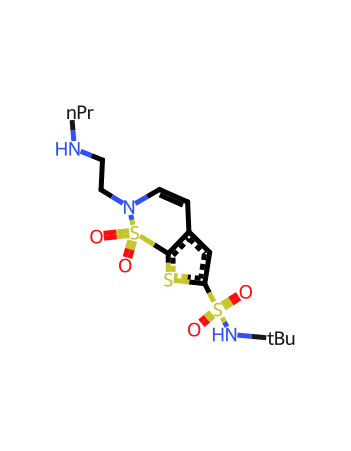 CCCNCCN1C=Cc2cc(S(=O)(=O)NC(C)(C)C)sc2S1(=O)=O